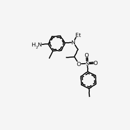 CCN(CC(C)OS(=O)(=O)c1ccc(C)cc1)c1ccc(N)c(C)c1